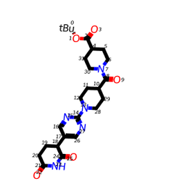 CC(C)(C)OC(=O)C1CCN(C(=O)C2CCN(c3ncc(C4CCC(=O)NC4=O)cn3)CC2)CC1